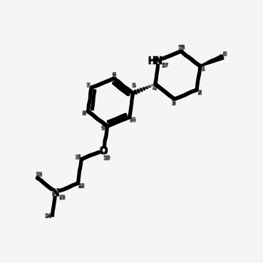 C[C@H]1CC[C@H](c2cccc(OCCN(C)C)c2)NC1